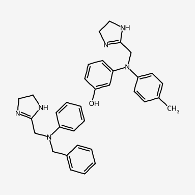 Cc1ccc(N(CC2=NCCN2)c2cccc(O)c2)cc1.c1ccc(CN(CC2=NCCN2)c2ccccc2)cc1